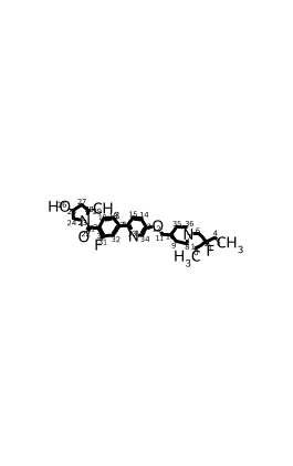 CCC(F)(CC)CN1CCC(COc2ccc(-c3ccc(C(=O)N4C[C@H](O)C[C@@H]4C)c(F)c3)nc2)CC1